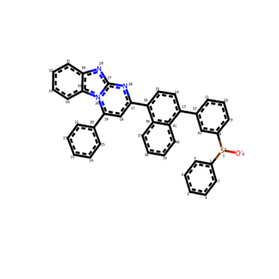 [O-][S+](c1ccccc1)c1cccc(-c2ccc(-c3cc(-c4ccccc4)n4c(n3)nc3ccccc34)c3ccccc23)c1